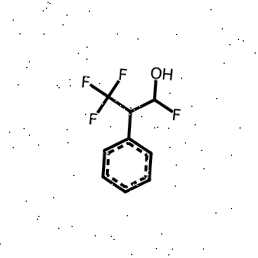 OC(F)[C](c1ccccc1)C(F)(F)F